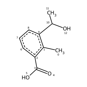 Cc1c(C(=O)O)cccc1C(C)O